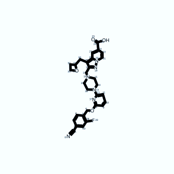 N#Cc1ccc(COc2cccc(N3CCN(Cc4nn5ccc(C(=O)O)cc5c4CC4CCO4)CC3)n2)c(F)c1